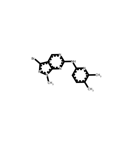 Cc1ccc(Nc2ncc3c(Br)nn(C)c3n2)nc1C